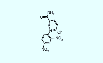 NC(=O)c1ccc[n+](-c2ccc([N+](=O)[O-])cc2[N+](=O)[O-])c1.[Cl-]